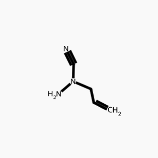 C=CCN(N)C#N